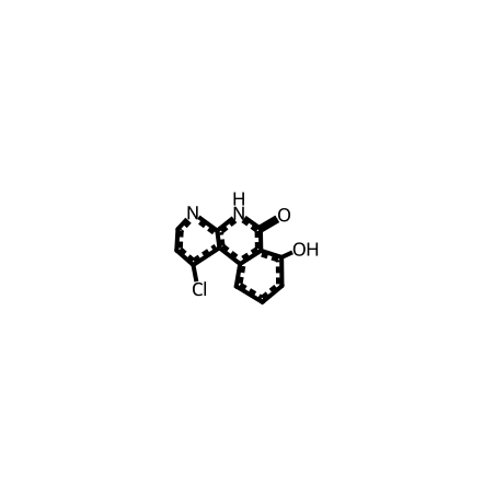 O=c1[nH]c2nccc(Cl)c2c2cccc(O)c12